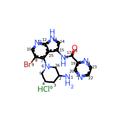 Cl.NC1CCCN(c2c(Br)cnc3[nH]cc(NC(=O)c4cnccn4)c23)C1